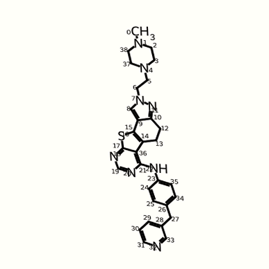 CN1CCN(CCn2cc3c(n2)CCc2c-3sc3ncnc(Nc4ccc(Cc5cccnc5)cc4)c23)CC1